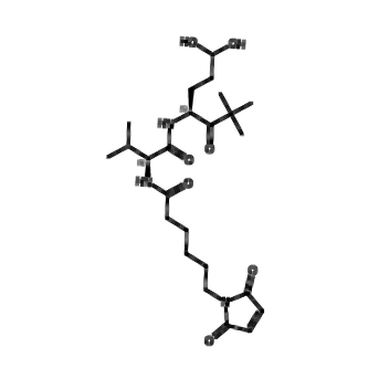 CC(C)[C@H](NC(=O)CCCCCN1C(=O)C=CC1=O)C(=O)N[C@@H](CCC(O)O)C(=O)C(C)(C)C